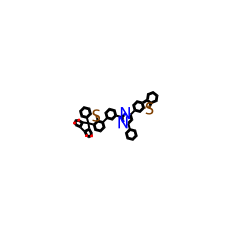 c1ccc(-c2cc(-c3ccc4c(c3)sc3ccccc34)nc(-c3cccc(-c4cccc5c4Sc4ccccc4C54c5ccccc5-c5ccccc54)c3)n2)cc1